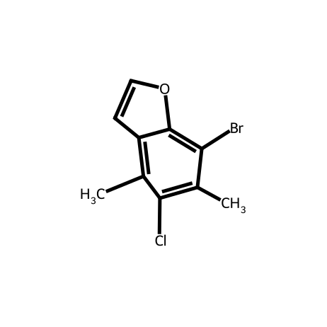 Cc1c(Cl)c(C)c2ccoc2c1Br